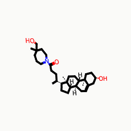 CC(CCC(=O)N1CCCC(C)(CO)CC1)[C@H]1CC[C@H]2[C@@H]3CC=C4C[C@@H](O)CC[C@]4(C)[C@H]3CC[C@]12C